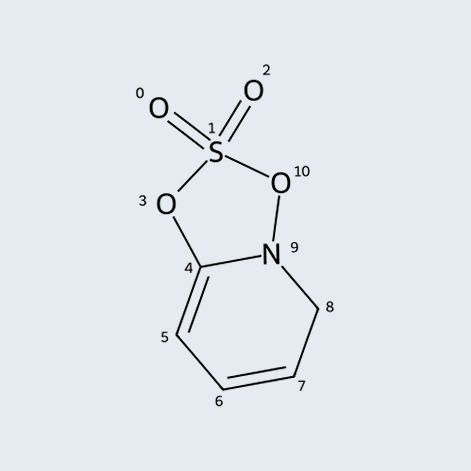 O=S1(=O)OC2=CC=CCN2O1